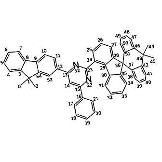 CC1(C)c2ccccc2-c2ccc(-c3cc(-c4ccccc4)nc(-c4cccc5c4-c4ccccc4C54c5ccccc5C(C)(C)c5ccccc54)n3)cc21